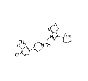 COc1cc(N2CCN(C(=O)Cn3nc(-c4ccccn4)c4cncnc43)CC2)ccc1Cl